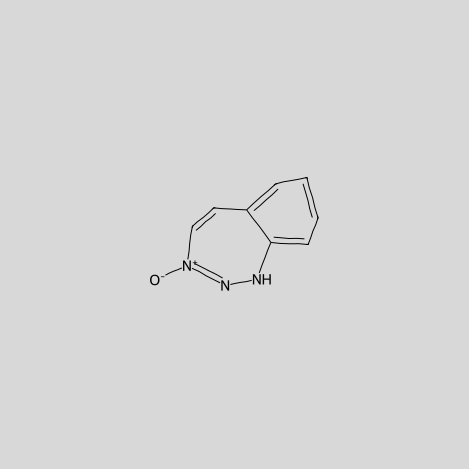 [O-][N+]1=NNc2ccccc2C=C1